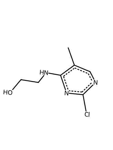 Cc1cnc(Cl)nc1NCCO